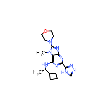 C[C@@H](Nc1nc(-c2nnc[nH]2)nc2nc(N3CCOCC3)n(C)c12)C1CCC1